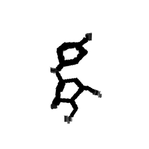 CCC1C(=O)C=C(Nc2ccc(Cl)cc2)CC1C